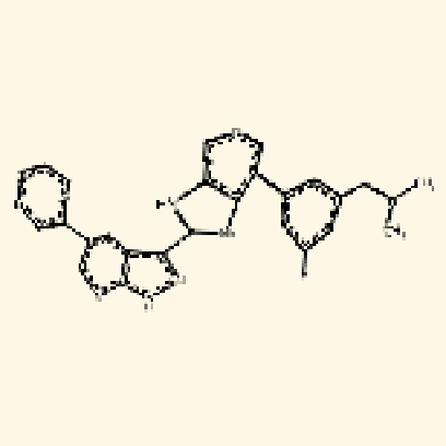 CN(C)Cc1cc(F)cc(-c2cncc3c2NC(c2n[nH]c4ncc(-c5cccnc5)cc24)N3)c1